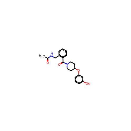 CC(=O)NCc1ccccc1C(=O)N1CCC(Oc2cccc(O)c2)CC1